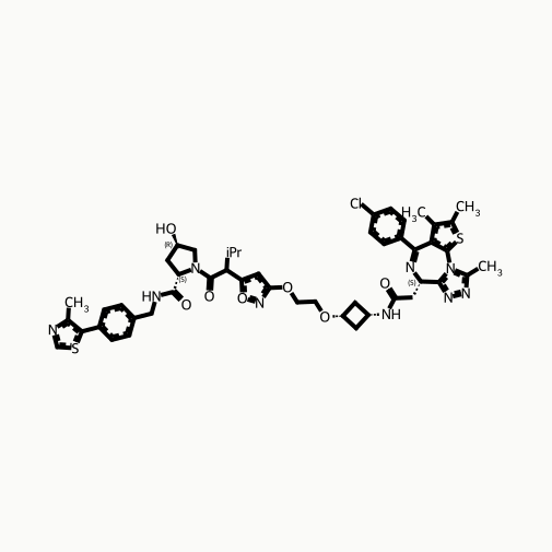 Cc1ncsc1-c1ccc(CNC(=O)[C@@H]2C[C@@H](O)CN2C(=O)C(c2cc(OCCO[C@H]3C[C@@H](NC(=O)C[C@@H]4N=C(c5ccc(Cl)cc5)c5c(sc(C)c5C)-n5c(C)nnc54)C3)no2)C(C)C)cc1